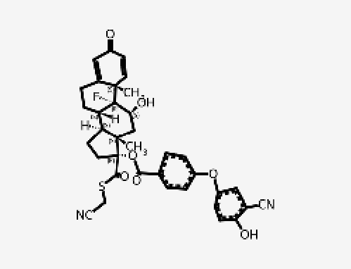 C[C@]12C=CC(=O)C=C1CC[C@H]1[C@@H]3CC[C@](OC(=O)c4ccc(Oc5ccc(O)c(C#N)c5)cc4)(C(=O)SCC#N)[C@@]3(C)C[C@H](O)[C@@]12F